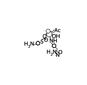 CC(=O)CC[C@]12CC[C@@H](C)[C@](C)(C1)[C@H](OC(=O)CSc1ccc(CN)cc1)C[C@](C)(CNCc1ccc(CC(N)C(=O)N(C)C)cc1)[C@@H](O)[C@@H]2C